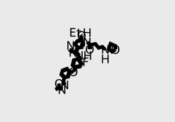 CCOc1cc2ncnc(Nc3ccc(Oc4cccc(-c5nnc(C)o5)c4)cc3F)c2cc1NC(=O)CCCN[C@@H]1CCOC1